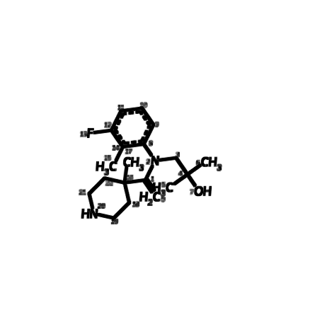 C=C(N(CC(C)(C)O)c1cccc(F)c1C)C1(C)CCNCC1